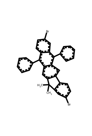 CC1(C)c2cc(Br)ccc2-c2cc3c(-c4ccccc4)c4cc(Br)ccc4c(-c4ccccc4)c3cc21